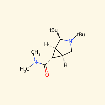 CN(C)C(=O)[C@H]1[C@@H]2CN(C(C)(C)C)[C@H](C(C)(C)C)[C@@H]21